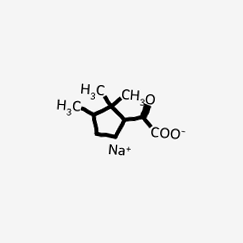 CC1CCC(C(=O)C(=O)[O-])C1(C)C.[Na+]